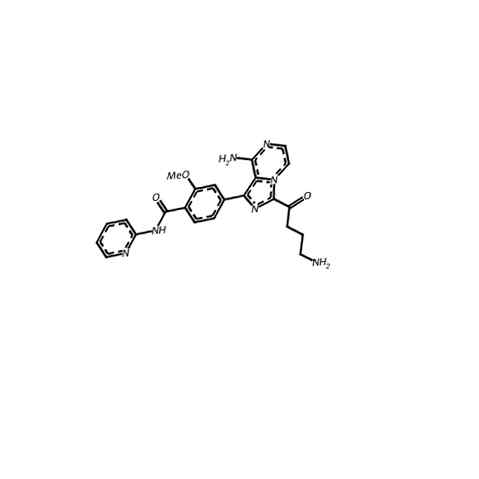 COc1cc(-c2nc(C(=O)CCCN)n3ccnc(N)c23)ccc1C(=O)Nc1ccccn1